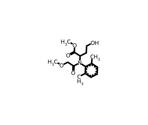 COCC(=O)N(c1c(C)cccc1C)C(CCO)C(=O)OC